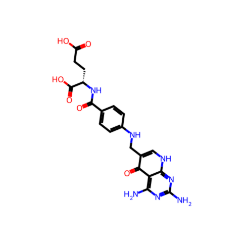 Nc1nc(N)c2c(=O)c(CNc3ccc(C(=O)N[C@@H](CCC(=O)O)C(=O)O)cc3)c[nH]c2n1